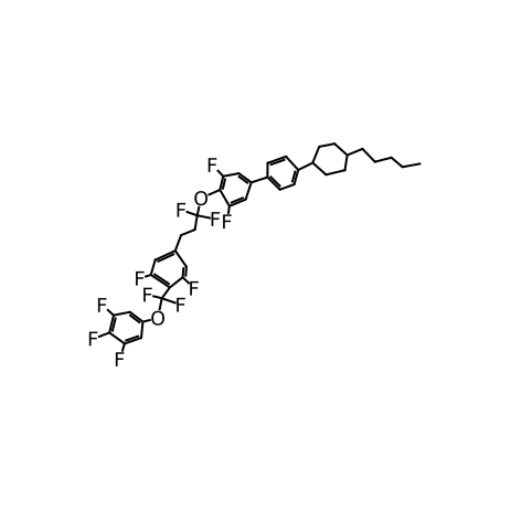 CCCCCC1CCC(c2ccc(-c3cc(F)c(OC(F)(F)CCc4cc(F)c(C(F)(F)Oc5cc(F)c(F)c(F)c5)c(F)c4)c(F)c3)cc2)CC1